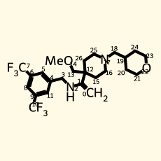 C=C(NCc1cc(C(F)(F)F)cc(C(F)(F)F)c1)C1(COC)CCN(CC2CCOCC2)CC1